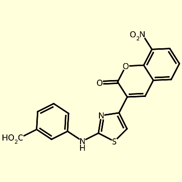 O=C(O)c1cccc(Nc2nc(-c3cc4cccc([N+](=O)[O-])c4oc3=O)cs2)c1